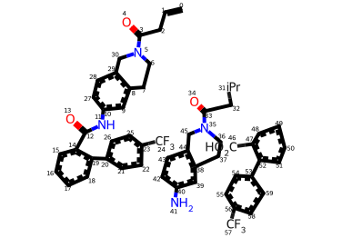 C=CCC(=O)N1CCc2cc(NC(=O)c3ccccc3-c3ccc(C(F)(F)F)cc3)ccc2C1.CC(C)CC(=O)N1CCc2cc(N)ccc2C1.O=C(O)c1ccccc1-c1ccc(C(F)(F)F)cc1